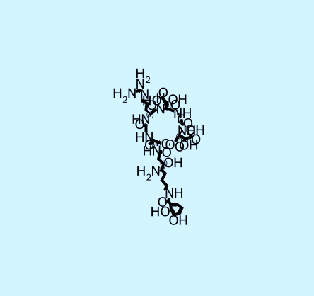 NC(N)=NCCC[C@@H]1NC(=O)CNC(=O)[C@H](NC(=O)C[C@H](O)[C@H](N)CCCCNC(=O)c2cccc(O)c2O)COC(=O)[C@H]([C@H](O)C(=O)O)NC(=O)CNC(=O)[C@H]([C@H](O)C(=O)O)NC1=O